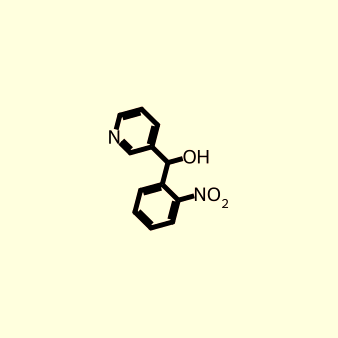 O=[N+]([O-])c1ccccc1C(O)c1cccnc1